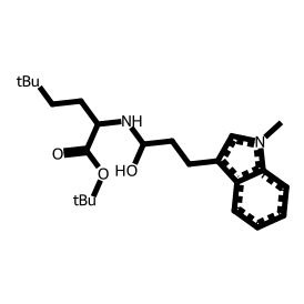 Cn1cc(CCC(O)NC(CCC(C)(C)C)C(=O)OC(C)(C)C)c2ccccc21